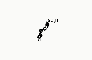 O=C(O)COc1ccc(CN2CCC(c3cccc(OCc4ccc(Cl)cc4F)n3)CC2)nc1